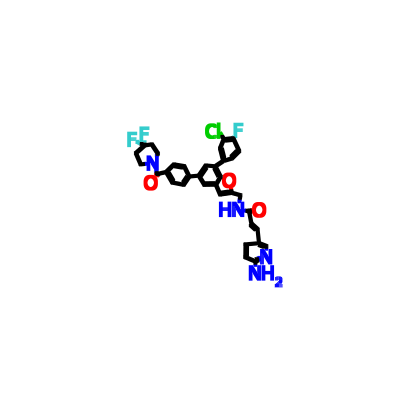 Nc1ccc(C=CC(=O)NCc2cc3cc(-c4ccc(C(=O)N5CCC(F)(F)CC5)cc4)cc(-c4ccc(F)c(Cl)c4)c3o2)cn1